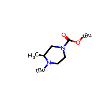 C[C@H]1CN(C(=O)OC(C)(C)C)CCN1C(C)(C)C